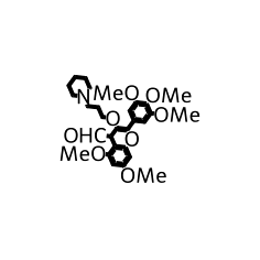 COc1cc(OC)c2c(c1)OC(c1cc(OC)c(OC)c(OC)c1)=C(OCCCN1CCCCC1)C2C=O